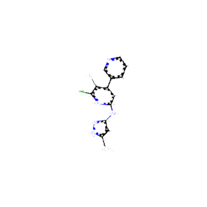 [C-]#[N+]c1c(-c2cccnc2)cc(Nc2cc(C)[nH]n2)nc1Cl